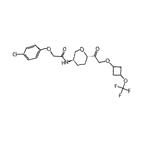 O=C(COc1ccc(Cl)cc1)N[C@@H]1CC[C@@H](C(=O)COC2CC(OC(F)(F)F)C2)OC1